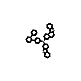 c1ccc(-c2ccccc2-c2ccc(N(c3ccc4c(ccc5oc6ccccc6c54)c3)c3ccc4c(c3)oc3ccccc34)cc2)cc1